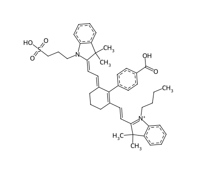 CCCC[N+]1=C(/C=C/C2=C(c3ccc(C(=O)O)cc3)C(=C/C=C3/N(CCCS(=O)(=O)O)c4ccccc4C3(C)C)/CCC2)C(C)(C)c2ccccc21